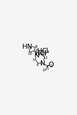 CC(=O)N1CCN(C2CNC2)CC1.Cl.Cl